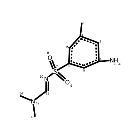 Cc1cc(N)cc(S(=O)(=O)N=CN(C)C)c1